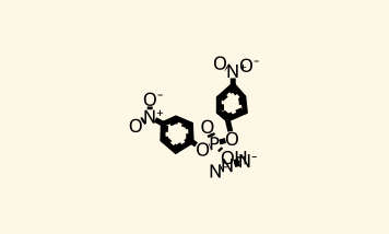 O=[N+]([O-])c1ccc(OP(=O)(O)Oc2ccc([N+](=O)[O-])cc2)cc1.[N-]=[N+]=[N-]